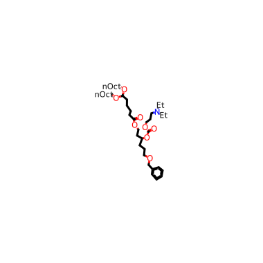 CCCCCCCCOC(CCCCC(=O)OCCC(CCCOCc1ccccc1)OC(=O)OCCCN(CC)CC)OCCCCCCCC